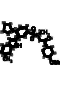 COC1CCN(C(=O)CN(C)S(=O)(=O)c2ccc(N3CCCC3)c(-c3cc4ccc(C)cc4[nH]3)c2)CC1